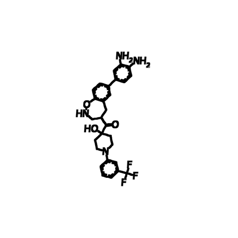 Nc1ccc(-c2ccc3c(c2)CC(C(=O)C2(O)CCN(c4cccc(C(F)(F)F)c4)CC2)CNO3)cc1N